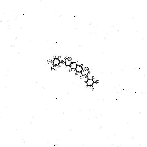 Cc1ccc(N2COc3cc4cc5c(cc4cc3C2)CN(c2ccc(F)c(F)c2)CO5)cc1F